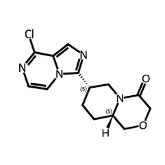 O=C1COC[C@@H]2CC[C@H](c3ncc4c(Cl)nccn34)CN12